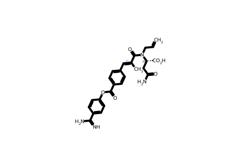 C=CCN(C(=O)/C(C)=C/c1ccc(C(=O)Oc2ccc(C(=N)N)cc2)cc1)[C@@H](CC(N)=O)C(=O)O